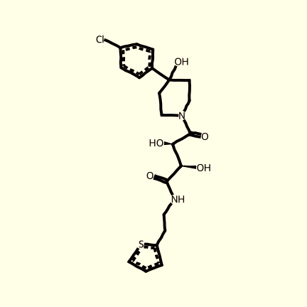 O=C(NCCc1cccs1)[C@H](O)[C@@H](O)C(=O)N1CCC(O)(c2ccc(Cl)cc2)CC1